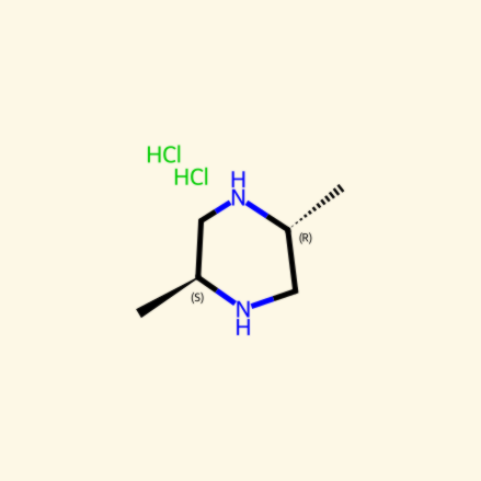 C[C@@H]1CN[C@@H](C)CN1.Cl.Cl